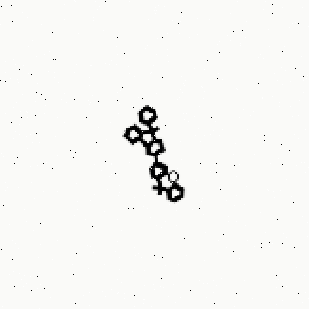 CC1(C)c2ccccc2Oc2cc(-c3ccc4c(c3)-c3ccccc3C4(C)c3ccccc3)ccc21